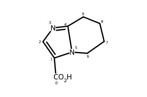 O=C(O)c1cnc2n1CCCC2